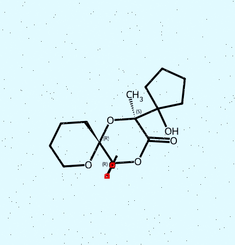 C[C@@]1(C2(O)CCCC2)O[C@]2(CCCCO2)[C@@]2(CCCCO2)OC1=O